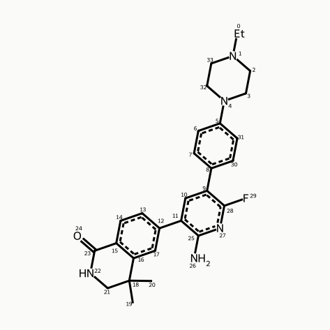 CCN1CCN(c2ccc(-c3cc(-c4ccc5c(c4)C(C)(C)CNC5=O)c(N)nc3F)cc2)CC1